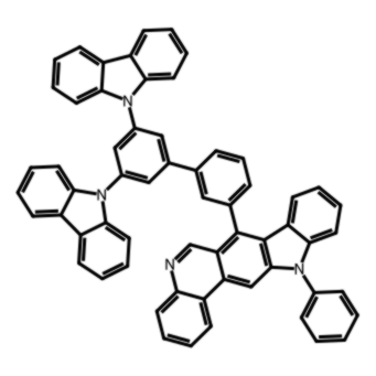 c1ccc(-n2c3ccccc3c3c(-c4cccc(-c5cc(-n6c7ccccc7c7ccccc76)cc(-n6c7ccccc7c7ccccc76)c5)c4)c4cnc5ccccc5c4cc32)cc1